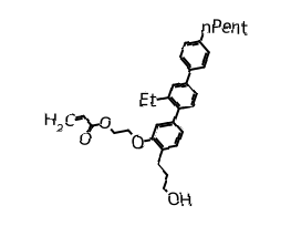 C=CC(=O)OCCOc1cc(-c2ccc(-c3ccc(CCCCC)cc3)cc2CC)ccc1CCCO